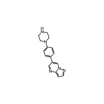 [c]1cnn2cc(-c3ccc(N4CCNCC4)cc3)cnc12